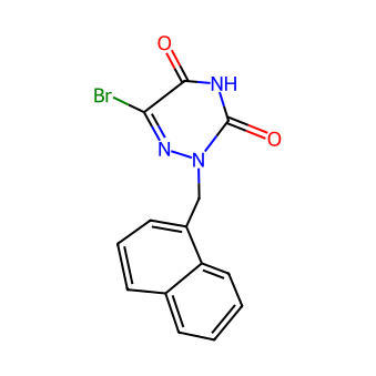 O=c1[nH]c(=O)n(Cc2cccc3ccccc23)nc1Br